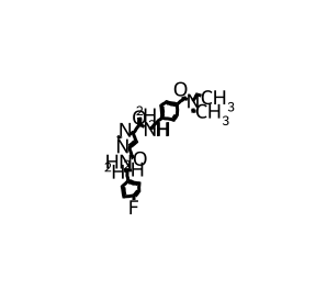 [2H]C([2H])(NC(=O)c1cc(C(=O)NC([2H])([2H])c2ccc(C(=O)N(CC)CC)cc2)ncn1)c1ccc(F)cc1